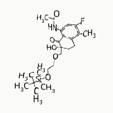 CC(=O)Nc1cc(F)c(C)c2c1C(=O)C(O)(COCCO[Si](C)(C)C(C)(C)C)CC2